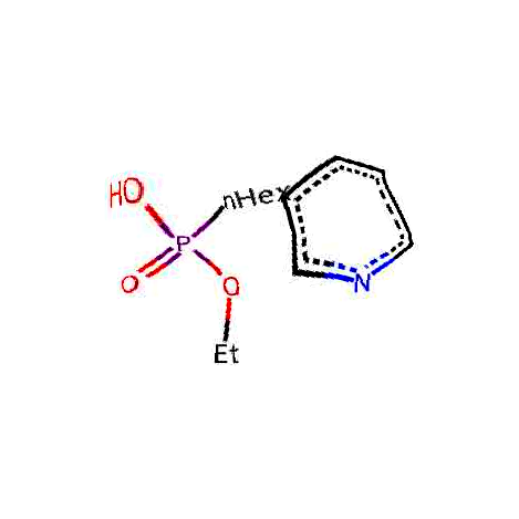 CCCCCCP(=O)(O)OCC.c1ccncc1